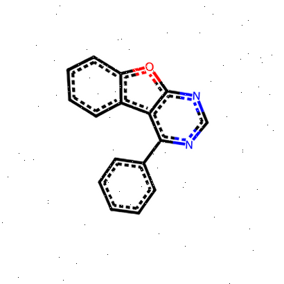 c1ccc(-c2ncnc3oc4ccccc4c23)cc1